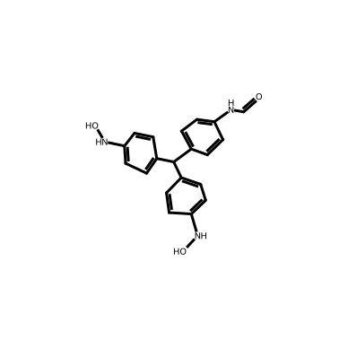 O=CNc1ccc(C(c2ccc(NO)cc2)c2ccc(NO)cc2)cc1